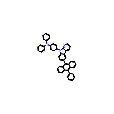 C1=CC(n2c3ccc(-c4c5ccccc5c(-c5ccccc5)c5ccccc45)cc3c3cccnc32)CC=C1N(c1ccccc1)c1ccccc1